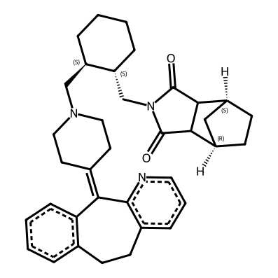 O=C1C2C(C(=O)N1C[C@H]1CCCC[C@@H]1CN1CCC(=C3c4ccccc4CCc4cccnc43)CC1)[C@H]1CC[C@@H]2C1